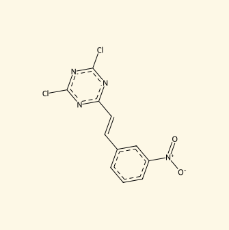 O=[N+]([O-])c1cccc(C=Cc2nc(Cl)nc(Cl)n2)c1